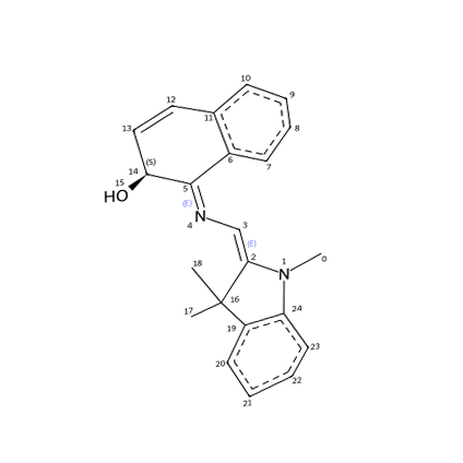 CN1/C(=C/N=C2\c3ccccc3C=C[C@@H]2O)C(C)(C)c2ccccc21